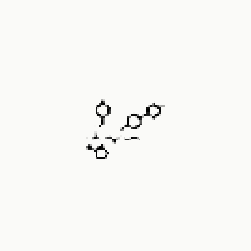 CCCN(Cc1ccc(-c2ccc(Cl)cc2)cc1)C(=O)Cn1c(SCc2ccc(F)cc2)nc(=O)c2c1CCC2